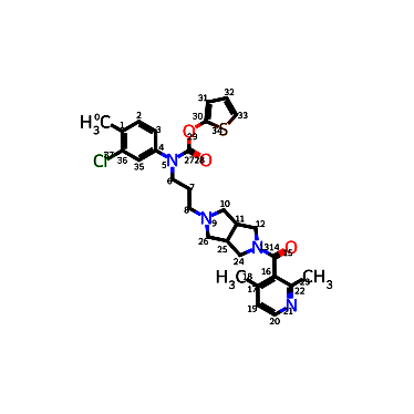 Cc1ccc(N(CCCN2CC3CN(C(=O)c4c(C)ccnc4C)CC3C2)C(=O)Oc2cccs2)cc1Cl